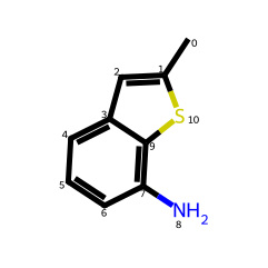 Cc1cc2cccc(N)c2s1